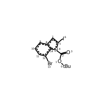 CC(C)(C)OC(=O)n1c(I)cc2cccc(Br)c21